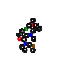 C=C1c2ccccc2-c2cc(N(c3ccccc3)c3ccc4c(c3)-c3c(Cl)cccc3C43c4ccccc4Oc4cc(N(c5ccccc5)c5ccc6sc7ccccc7c6c5-c5ccccc5)ccc43)cc(-c3cccc4c3oc3ccccc34)c21